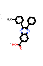 Cc1cccc(-c2nc3cc(C(=O)O)ccc3nc2-c2ccccc2)c1